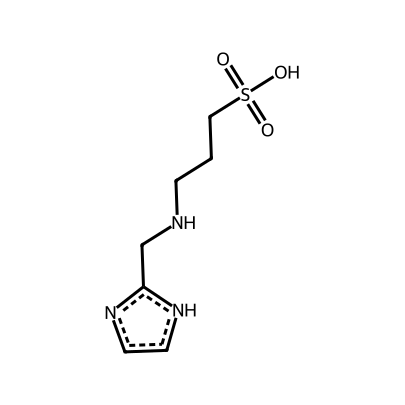 O=S(=O)(O)CCCNCc1ncc[nH]1